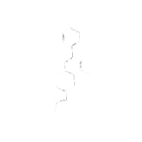 Fc1cc(-c2ccccc2)cc(F)c1Cc1cc(Cl)on1